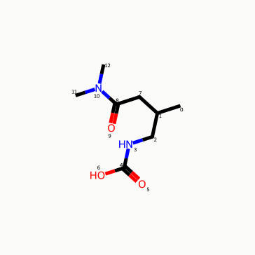 CC(CNC(=O)O)CC(=O)N(C)C